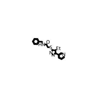 CCC1C(SCC(=O)NCc2ccccc2)=NN=C1c1cccnc1